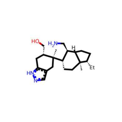 CC[C@H]1CC[C@H]2[C@H](CN)[C@@H]([C@@]3(C)Cc4cn[nH]c4C[C@@H]3CO)CC[C@]12C